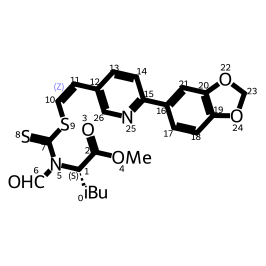 CCC(C)[C@@H](C(=O)OC)N(C=O)C(=S)S/C=C\c1ccc(-c2ccc3c(c2)OCO3)nc1